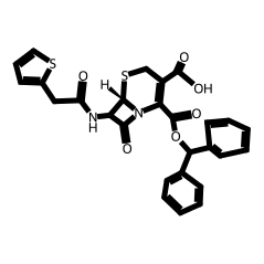 O=C(Cc1cccs1)NC1C(=O)N2C(C(=O)OC(c3ccccc3)c3ccccc3)=C(C(=O)O)CS[C@@H]12